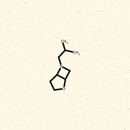 CC(C)CN1CC2OCCC21